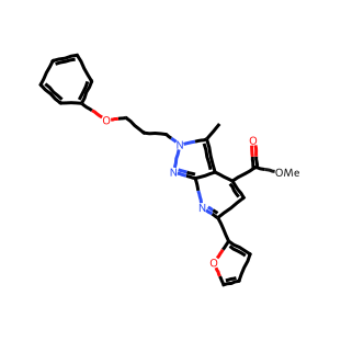 COC(=O)c1cc(-c2ccco2)nc2nn(CCCOc3ccccc3)c(C)c12